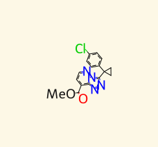 COC(=O)c1ccnn2c(C3(c4ccc(Cl)cc4)CC3)nnc12